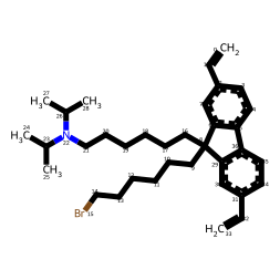 C=Cc1ccc2c(c1)C(CCCCCCBr)(CCCCCCN(C(C)C)C(C)C)c1cc(C=C)ccc1-2